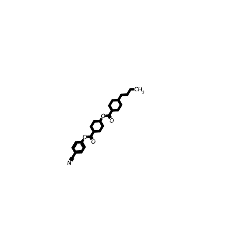 CCCCC1CCC(C(=O)OC2CCC(C(=O)Oc3ccc(C#N)cc3)CC2)CC1